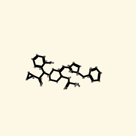 CC(=O)SC1CCN(C(C(=O)C2CC2)c2ccccc2F)CC1=Cc1ccn(Cc2ccccn2)n1